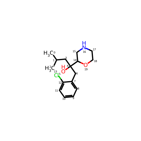 CC(C)CC(O)(Cc1ccccc1Cl)C1CNCCO1